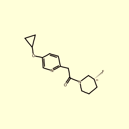 O=C(Cc1ccc(OC2CC2)cn1)N1CCC[C@@H](F)C1